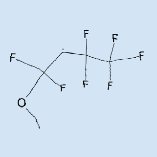 COC(F)(F)[CH]C(F)(F)C(F)(F)F